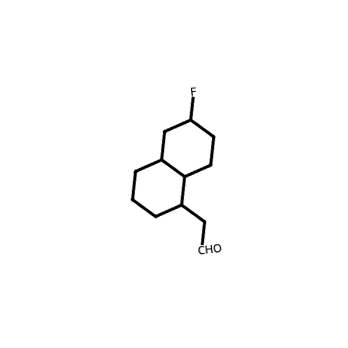 O=CCC1CCCC2CC(F)CCC12